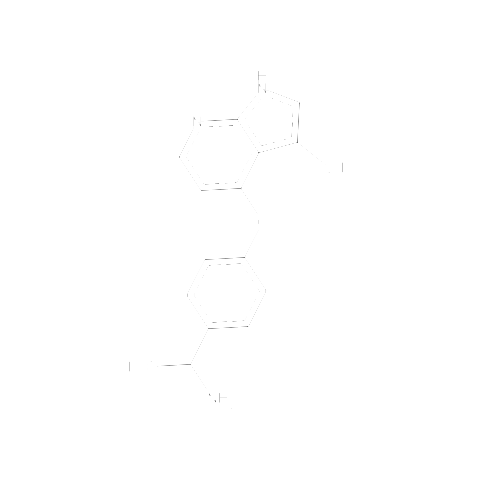 Cc1c[nH]c2nccc(Oc3ccc(C(C)N)cc3)c12